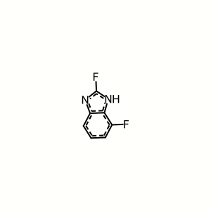 Fc1nc2cccc(F)c2[nH]1